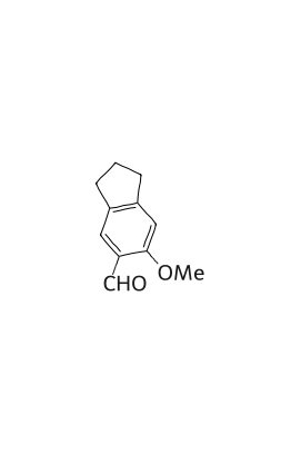 COc1cc2c(cc1C=O)CCC2